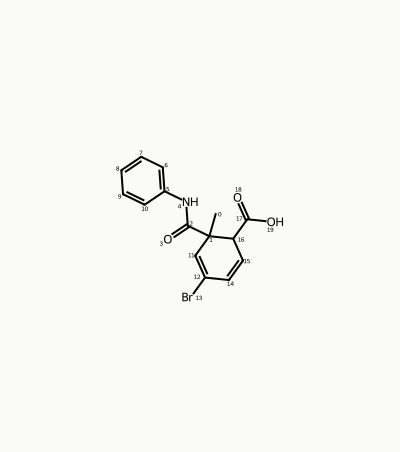 CC1(C(=O)Nc2ccccc2)C=C(Br)C=CC1C(=O)O